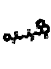 O=C(CSCC(=O)NC1CCCC1)NCCN1C(=O)CCc2cccnc21